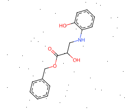 O=C(OCc1ccccc1)C(O)CNc1ccccc1O